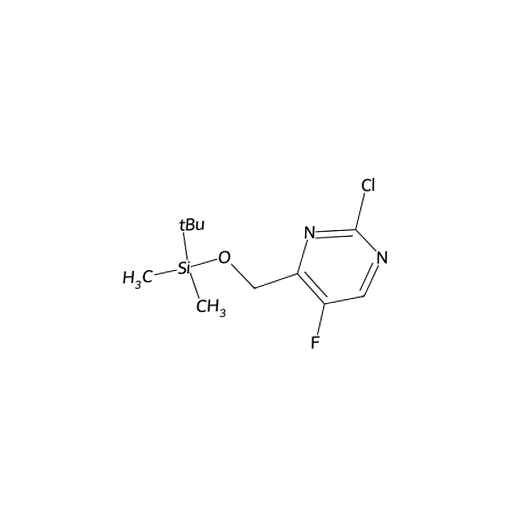 CC(C)(C)[Si](C)(C)OCc1nc(Cl)ncc1F